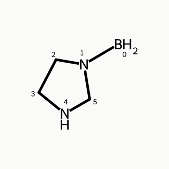 BN1CCNC1